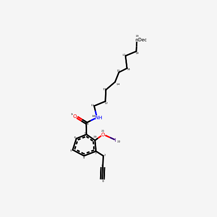 C#CCc1cccc(C(=O)NCCCCCCCCCCCCCCCCCC)c1OI